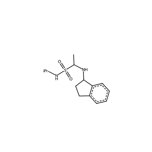 CC(C)NS(=O)(=O)C(C)NC1CCc2ccccc21